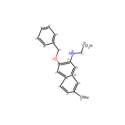 COc1ccc2cc(OCc3ccccc3)c(NCC(=O)O)cc2c1